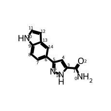 NC(=O)c1cc(-c2ccc3[nH]ccc3c2)n[nH]1